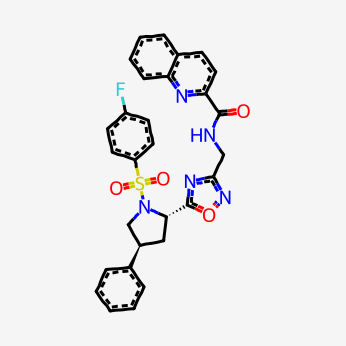 O=C(NCc1noc([C@@H]2C[C@@H](c3ccccc3)CN2S(=O)(=O)c2ccc(F)cc2)n1)c1ccc2ccccc2n1